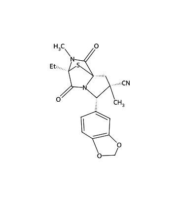 CC[C@]12S[C@@]3(C[C@](C)(C#N)[C@H](c4ccc5c(c4)OCO5)N3C1=O)C(=O)N2C